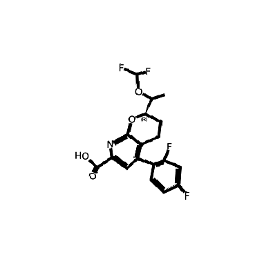 CC(OC(F)F)[C@H]1CCc2c(-c3ccc(F)cc3F)cc(C(=O)O)nc2O1